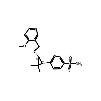 COc1ccccc1CC[C@@H]1[C@@H](c2ccc(S(N)(=O)=O)cc2)C1(C)C